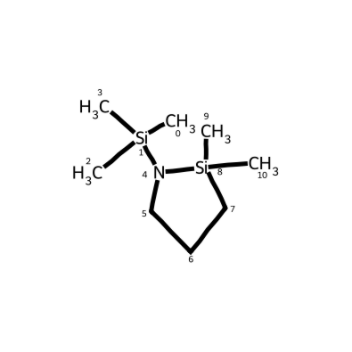 C[Si](C)(C)N1CCC[Si]1(C)C